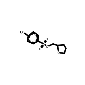 Cc1ccc(S(=O)(=O)OCC2CCCO2)cc1